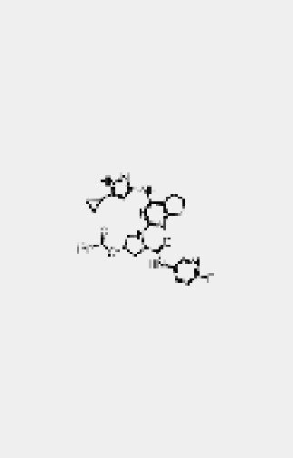 CC(C)C(=O)O[C@@H]1C[C@H](C(=O)Nc2ccc(F)nc2)N(c2nc3c(c(Nc4cc(C5CC5)[nH]n4)n2)CCC3)C1